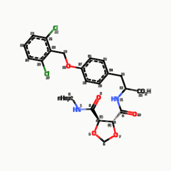 CCCCCCCNC(=O)[C@@H]1OCO[C@H]1C(=O)NC(Cc1ccc(OCc2c(Cl)cccc2Cl)cc1)C(=O)O